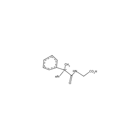 CCC[N+](C)(C(=O)NCC(=O)O)c1ccccc1